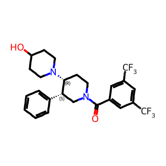 O=C(c1cc(C(F)(F)F)cc(C(F)(F)F)c1)N1CC[C@@H](N2CCC(O)CC2)[C@@H](c2ccccc2)C1